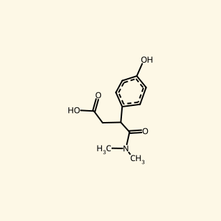 CN(C)C(=O)C(CC(=O)O)c1ccc(O)cc1